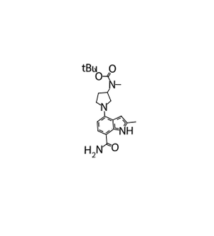 Cc1cc2c(N3CCC(N(C)C(=O)OC(C)(C)C)C3)ccc(C(N)=O)c2[nH]1